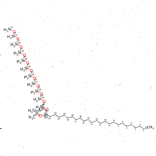 CCCCCCCCCCCCCCCCCCCCCCCC[SiH](O[SiH2]O[SiH2]O[SiH2]O[SiH2]O[SiH2]O[SiH2]O[SiH2]O[SiH2]O[SiH2]O[SiH2]O[SiH3])O[Si](C)(C)C